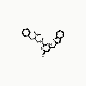 CN(C[C@@H](Cc1ccccc1)N(C)C)c1nc(=O)cc(Cc2cc3ccccc3s2)[nH]1